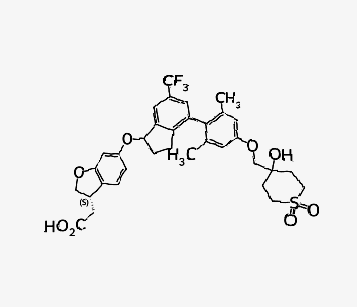 Cc1cc(OCC2(O)CCS(=O)(=O)CC2)cc(C)c1-c1cc(C(F)(F)F)cc2c1CCC2Oc1ccc2c(c1)OC[C@H]2CC(=O)O